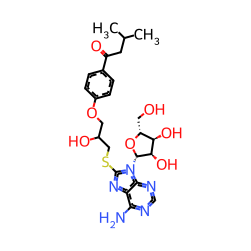 CC(C)CC(=O)c1ccc(OCC(O)CSc2nc3c(N)ncnc3n2[C@@H]2O[C@H](CO)[C@@H](O)[C@H]2O)cc1